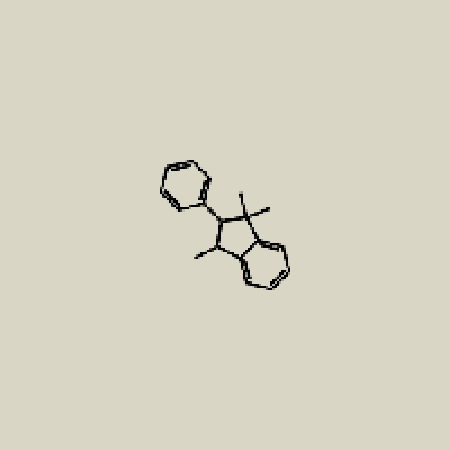 CC1c2ccccc2C(C)(C)C1c1ccccc1